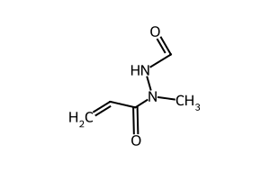 C=CC(=O)N(C)NC=O